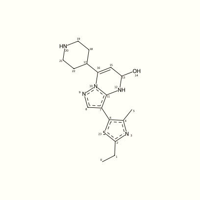 CCc1nc(C)c(-c2cnn3c2NC(O)C=C3C2CCNCC2)s1